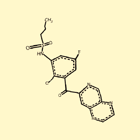 CCCS(=O)(=O)Nc1cc(F)cc(C(=O)c2cc3nccnc3cn2)c1Cl